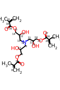 C=C(C)C(=O)OCC(O)CN(CC(O)COC(=O)C(=C)C)CC(O)COC(=O)C(=C)C